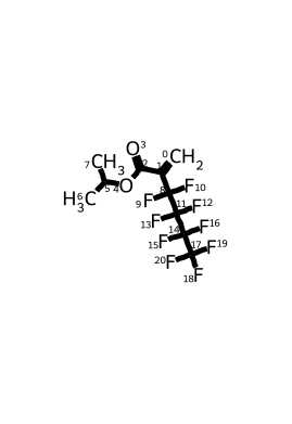 C=C(C(=O)OC(C)C)C(F)(F)C(F)(F)C(F)(F)C(F)(F)F